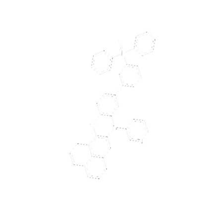 S=P(c1ccccc1)(c1ccccc1)c1cccc(-c2ccc3c(c2)N(c2cccnc2)c2cc4cccc5c4c(c2O3)CC=C5)c1